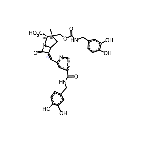 C[C@@]1(COC(=O)NCc2ccc(O)c(O)c2)CC2/C(=C\c3cc(C(=O)NCc4ccc(O)c(O)c4)ccn3)C(=O)N2[C@H]1C(=O)O